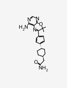 CC1(C)Oc2ncnc(N)c2N=C1c1ccc([C@H]2CC[C@H](CC(N)=O)CC2)cc1